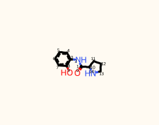 O=C(Nc1ccccc1O)C1CCCN1